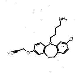 C#CCOc1ccc2c(c1)CCc1ccc(Cl)cc1N2CCCCN